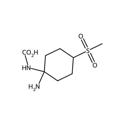 CS(=O)(=O)C1CCC(N)(NC(=O)O)CC1